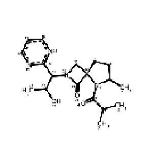 CC(C)C(=O)N1C(C)CC[C@@]12CN(C(c1ncccn1)C(C)O)C2=O